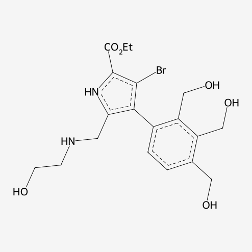 CCOC(=O)c1[nH]c(CNCCO)c(-c2ccc(CO)c(CO)c2CO)c1Br